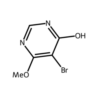 COc1ncnc(O)c1Br